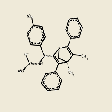 CC1=C(c2ccccc2)[P@@]2C[C@]1(C)C(c1ccccc1)=C2[C@@H](N[S@+]([O-])C(C)(C)C)c1ccc(C(C)(C)C)cc1